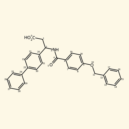 O=C(O)CC(NC(=O)c1ccc(OCc2ccccc2)cc1)c1ccc(-c2ccccc2)cc1